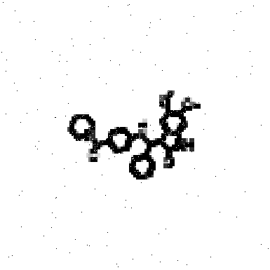 COc1cc2c(cc1OC)C(=C(Nc1ccc(C(=O)N3CCCCC3)cc1)c1ccccc1)C(=O)N2